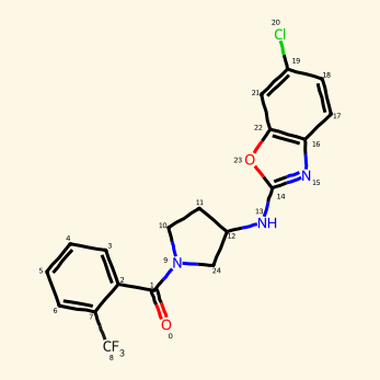 O=C(c1ccccc1C(F)(F)F)N1CCC(Nc2nc3ccc(Cl)cc3o2)C1